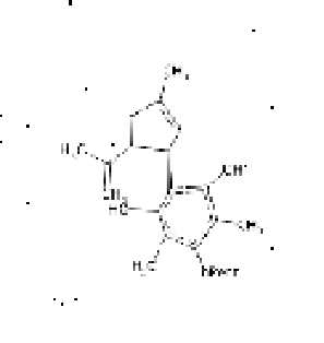 C=C(C)[C@@H]1CC(C)=C[C@H]1c1c(O)c(C)c(CCCCC)c(C)c1O